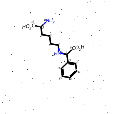 N[C@@H](CCCCNC(C(=O)O)c1ccccc1)C(=O)O